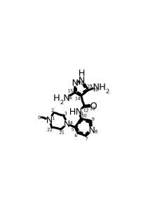 CN1CCN(c2ccncc2NC(=O)c2c(N)n[nH]c2N)CC1